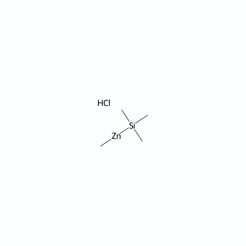 Cl.[CH3][Zn][Si](C)(C)C